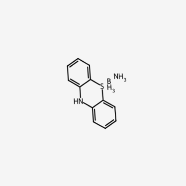 B.N.c1ccc2c(c1)Nc1ccccc1S2